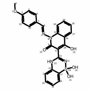 COc1ccc(C=Nn2c(=O)c(C3=NS(O)(O)c4ccccc4N3)c(O)c3ccccc32)cc1